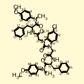 COc1ccc(N(C)C(=O)C(Cc2ccccc2)NC(=O)Cn2c(=O)n(CC(=O)N[C@@H](Cc3ccccc3)C(=O)N(C)c3ccc(OC)cc3)c3ccc(Cl)cc32)cc1